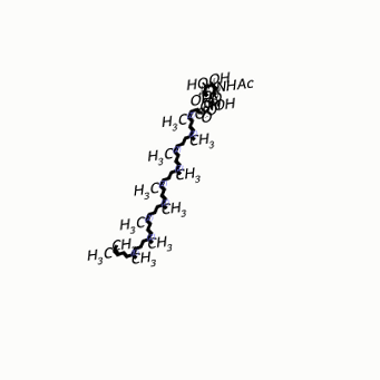 CC(=O)N[C@H]1[C@@H](OP(=O)(O)OP(=O)(O)OC/C=C(/C)CC/C=C(/C)CC/C=C(/C)CC/C=C(/C)CC/C=C(/C)CC/C=C(/C)CC/C=C(/C)CC/C=C(/C)CC/C=C(\C)CCC=C(C)C)O[C@H](CO)[C@@H](O)[C@@H]1O